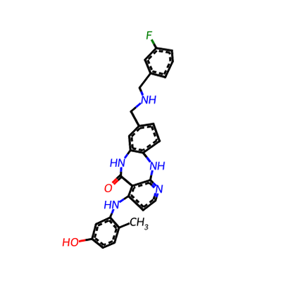 Cc1ccc(O)cc1Nc1ccnc2c1C(=O)Nc1cc(CNCc3cccc(F)c3)ccc1N2